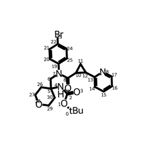 CC(C)(C)OC(=O)NC1(CN(C(=O)C2CC2c2ccccn2)c2ccc(Br)cc2)CCOCC1